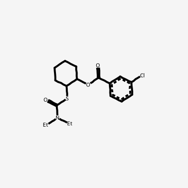 CCN(CC)C(=O)SC1CCCCC1OC(=O)c1cccc(Cl)c1